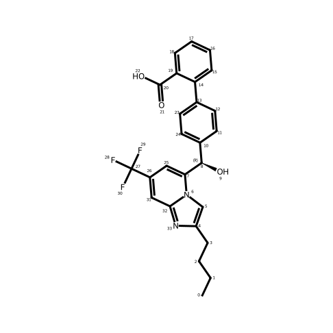 CCCCc1cn2c([C@H](O)c3ccc(-c4ccccc4C(=O)O)cc3)cc(C(F)(F)F)cc2n1